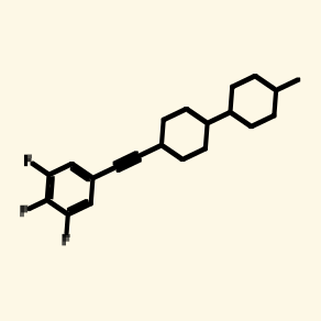 CC1CCC(C2CCC(C#Cc3cc(F)c(F)c(F)c3)CC2)CC1